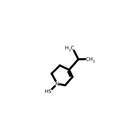 CC(C)C1=CCN(S)CC1